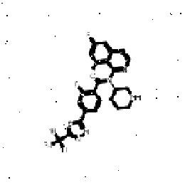 [2H]C([2H])([2H])c1nnc(-c2ccc(C(=O)N(c3nccc4cc(F)cc(C)c34)[C@@H]3CCCNC3)c(F)c2)s1